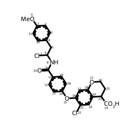 COc1ccc(CC(Cl)NC(=O)c2ccc(Oc3cc4c(cc3Cl)C(C(=O)O)CCO4)cc2)cc1